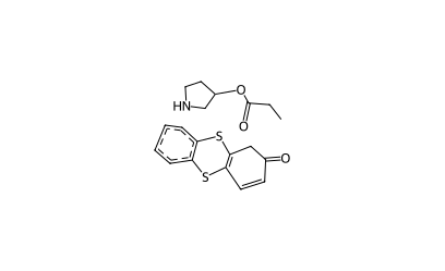 CCC(=O)OC1CCNC1.O=C1C=CC2=C(C1)Sc1ccccc1S2